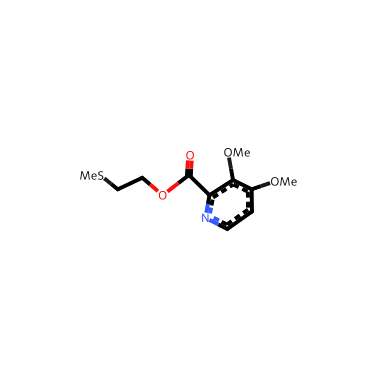 COc1ccnc(C(=O)OCCSC)c1OC